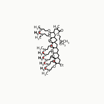 CCC(CC(CC(CC(CC(CC(CC(CC(C)C(=O)OCCN(C)C)C(=O)OCCN(C)C)C(=O)OCCN(C)C)C(=O)OCCN(C)C)C(=O)OCCN(C)C)C(=O)OCCN(C)C)C(=O)OCCN(C)C)C(=O)OCCN(C)C